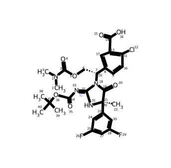 CN(C)C(=O)OC[C@H](c1ccc(Cl)c(C(=O)O)c1)N1C(=O)[C@@](C)(c2cc(F)cc(F)c2)N/C1=N\C(=O)OC(C)(C)C